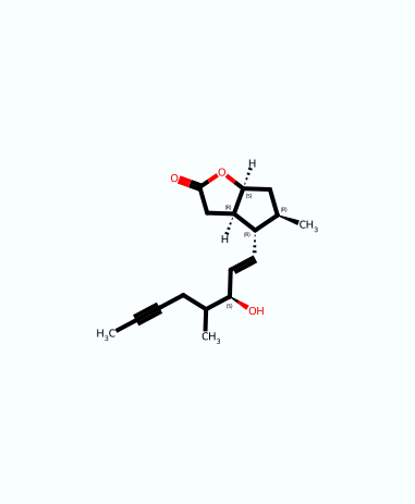 CC#CCC(C)[C@H](O)C=C[C@@H]1[C@H]2CC(=O)O[C@H]2C[C@H]1C